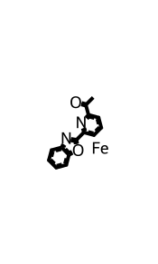 CC(=O)c1cccc(-c2nc3ccccc3o2)n1.[Fe]